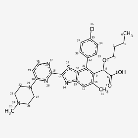 CCCCOC(C(=O)O)c1c(C)cc2nc(-c3nccc(N4CCN(C)CC4)n3)sc2c1-c1ccc(Cl)cc1